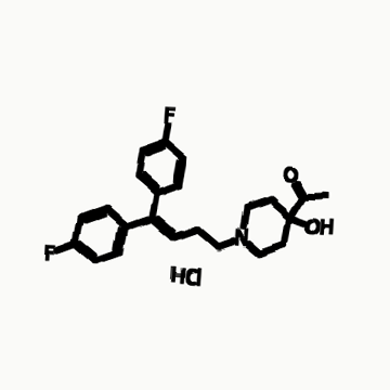 CC(=O)C1(O)CCN(CCC=C(c2ccc(F)cc2)c2ccc(F)cc2)CC1.Cl